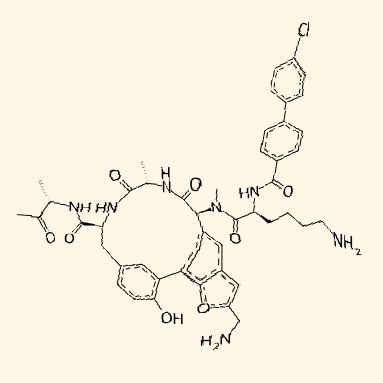 CC(=O)[C@H](C)NC(=O)[C@@H]1Cc2ccc(O)c(c2)-c2cc(cc3cc(CN)oc23)[C@H](N(C)C(=O)[C@H](CCCCN)NC(=O)c2ccc(-c3ccc(Cl)cc3)cc2)C(=O)N[C@@H](C)C(=O)N1